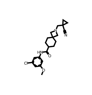 COc1cc(Cl)cc(NC(=O)C2CCC3(CC2)CN(CC2(C#N)CC2)C3)c1